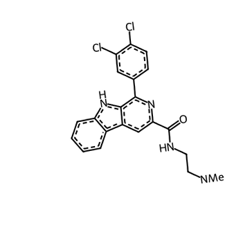 CNCCNC(=O)c1cc2c([nH]c3ccccc32)c(-c2ccc(Cl)c(Cl)c2)n1